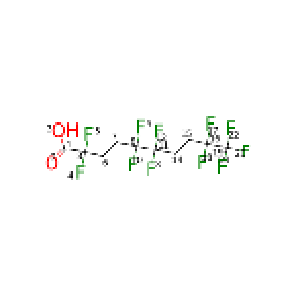 O=C(O)C(F)(F)CCC(F)(F)C(F)(F)CCC(F)(F)C(F)(F)F